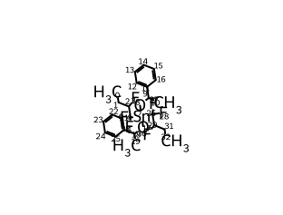 CCC(F)[C](F)(F)[Sn]([O]C(C)c1ccccc1)([O]C(C)c1ccccc1)[C](F)(F)C(F)CC